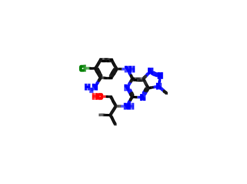 CC(C)C(CO)Nc1nc(Nc2ccc(Cl)c(N)c2)c2nnn(C)c2n1